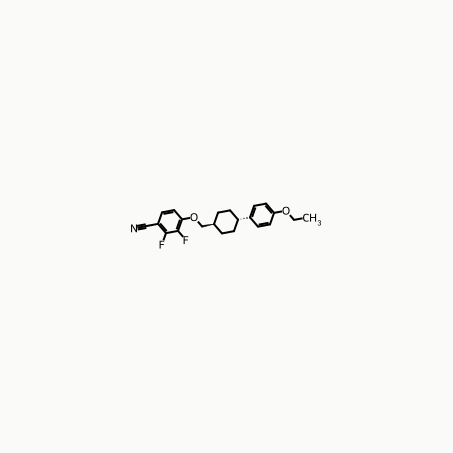 CCOc1ccc([C@H]2CC[C@H](COc3ccc(C#N)c(F)c3F)CC2)cc1